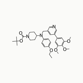 CCOc1ccc(N(Cc2cncc(-c3cc(OC)c(OC)c(OC)c3)c2)C2CCN(C(=O)OC(C)(C)C)CC2)cc1